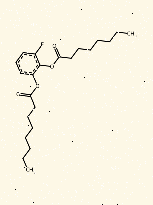 CCCCCCCC(=O)Oc1cccc(F)c1OC(=O)CCCCCCC